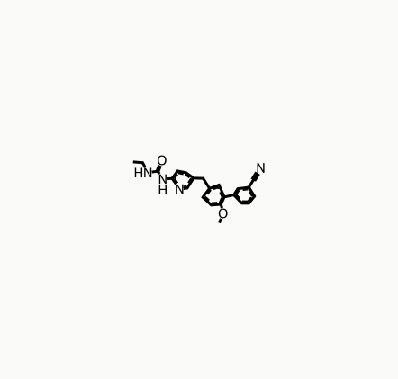 CCNC(=O)Nc1ccc(Cc2ccc(OC)c(-c3cccc(C#N)c3)c2)cn1